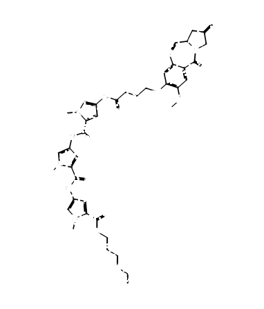 C=C1CC2C=Nc3cc(OCCCC(=O)Nc4cc(C(=O)Nc5cc(C(=O)Nc6cc(C(=O)NCCCOCC)n(C)c6)n(C)c5)n(C)c4)c(OC)cc3C(=O)N2C1